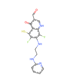 O=Cc1c[nH]c2c(F)c(NCCNc3ccccn3)c(F)c(S)c2c1=O